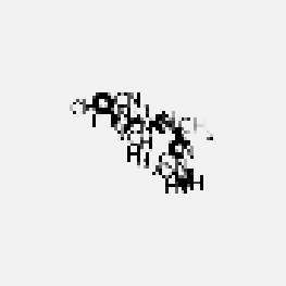 Cc1cc([C@@H](C)n2cc(NC(=O)c3nc(-c4c(C#N)ccc(Cl)c4F)cnc3C)cn2)cnc1N1C[C@H]2C[C@H]2C1=O